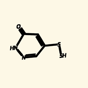 O=c1cc(SS)cn[nH]1